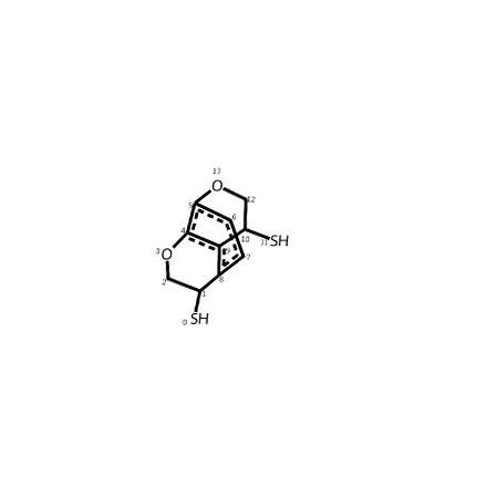 SC1COc2c3ccc1c2C(S)CO3